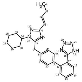 CCC=Cc1nc(Cc2ccc(-c3ccccc3-c3nnn[nH]3)cc2)n(C2CCCCC2)n1